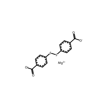 O=C([O-])c1ccc(SSc2ccc(C(=O)[O-])cc2)cc1.[Mg+2]